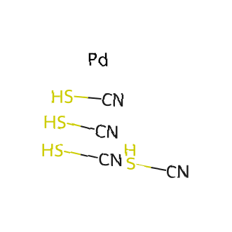 N#CS.N#CS.N#CS.N#CS.[Pd]